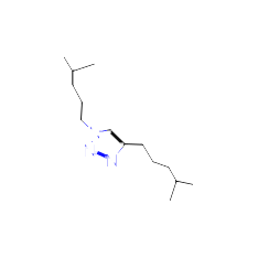 CC(C)CCCc1cn(CCCC(C)C)nn1